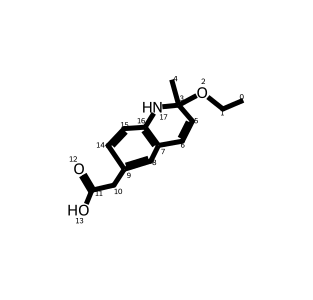 CCOC1(C)C=Cc2cc(CC(=O)O)ccc2N1